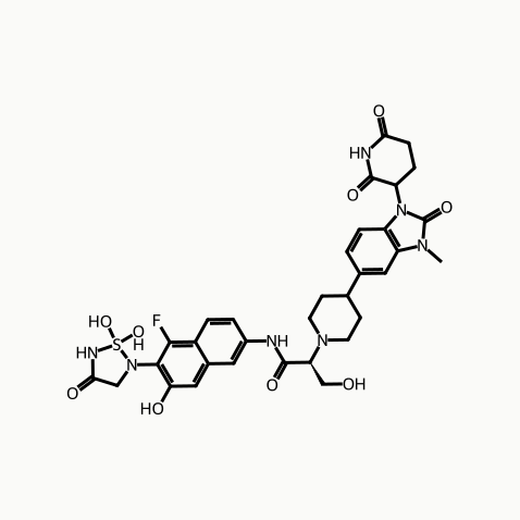 Cn1c(=O)n(C2CCC(=O)NC2=O)c2ccc(C3CCN([C@@H](CO)C(=O)Nc4ccc5c(F)c(N6CC(=O)NS6(O)O)c(O)cc5c4)CC3)cc21